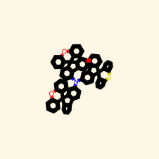 c1ccc2c(c1)Oc1ccccc1C21c2ccccc2-c2ccc(N(c3ccc4c(c3)-c3ccccc3C43c4ccccc4Sc4ccccc43)c3cccc4c3-c3ccccc3C43c4ccccc4Oc4ccccc43)cc21